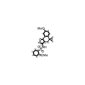 COc1ccc2c(c1)-c1onc(NS(=O)(=O)c3ccccc3OC)c1CC21CC1